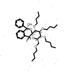 CCCCOC[C@H]1O[C@]2(O[C@](O)(c3ccccc3)c3ccccc3C2(F)F)[C@H](OCCCC)[C@@H](OCCCC)[C@@H]1OCCCC